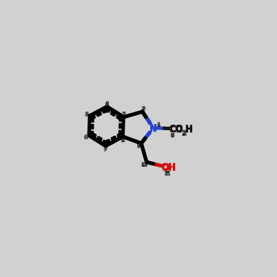 O=C(O)N1Cc2ccccc2C1CO